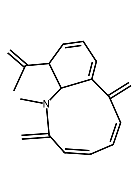 C=C1/C=C\C=C/C(=C)N(C)C2C1=CC=CC2C(=C)C